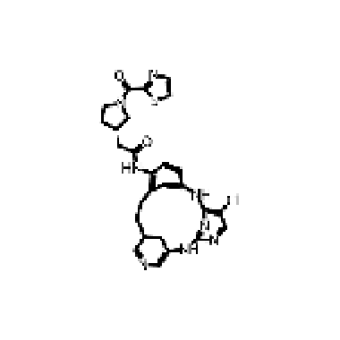 O=C(C[C@H]1CCN(C(=O)c2nccs2)C1)Nc1ccc2cc1CCC1C=NC=C(C1)Nc1ncc(Cl)c(n1)N2